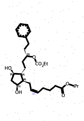 CCOC(=O)O[C@@H](CCc1ccccc1)CC[C@@H]1[C@@H](C/C=C\CCCC(=O)OC(C)C)[C@@H](O)C[C@H]1O